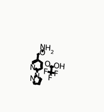 NOCc1ccc(-n2cccn2)nc1.O=C(O)C(F)(F)F